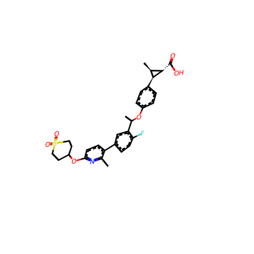 Cc1nc(OC2CCS(=O)(=O)CC2)ccc1-c1ccc(F)c(C(C)Oc2ccc([C@H]3[C@@H](C)[C@@H]3C(=O)O)cc2)c1